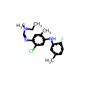 CCN(C)/C=N\c1cc(C)c(Nc2cc(C)ccc2F)cc1Cl